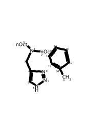 CCCCCCCCN(CCCCCCCC)Cc1c[nH]nn1.Cc1ccccc1